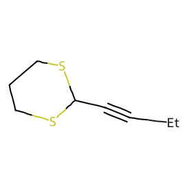 CCC#CC1SCCCS1